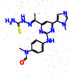 CC(=NNC(N)=S)c1cc(-c2cncn2C)nc(Nc2ccc(N(C)C=O)cc2)n1